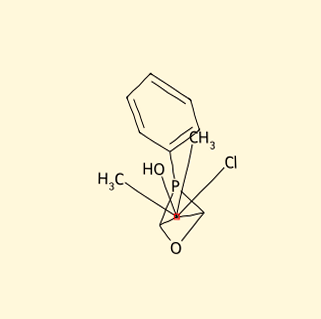 CC1(O)C2OC(P2c2ccccc2)C1(C)Cl